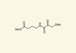 COC(=O)CCCNC(=O)C(=O)CSC